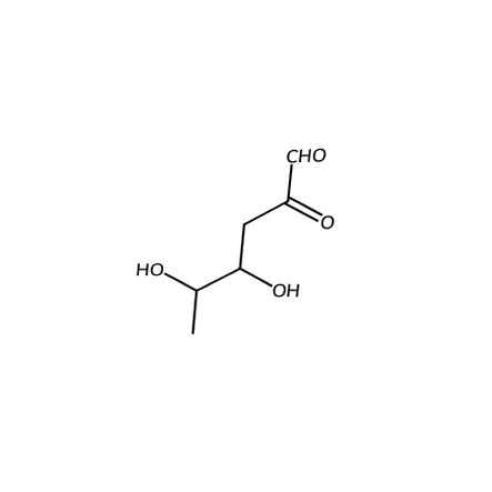 CC(O)C(O)CC(=O)C=O